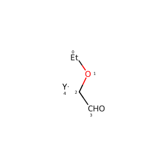 CCOCC=O.[Y]